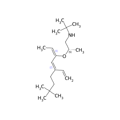 C=C/C(=C\C(=C/C)O[C@@H](C)CNC(C)(C)C)CCC(C)(C)C